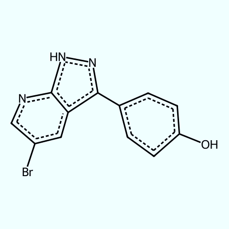 Oc1ccc(-c2n[nH]c3ncc(Br)cc23)cc1